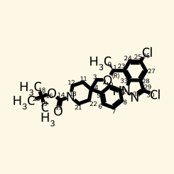 C[C@@H](OCC1(c2ccccc2)CCN(C(=O)OC(C)(C)C)CC1)c1cc(Cl)cc2c(Cl)n[nH]c12